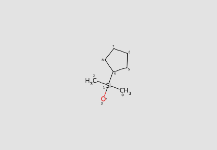 C[Si](C)([O])C1CCCC1